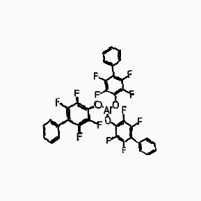 Fc1c(F)c(-c2ccccc2)c(F)c(F)c1[O][Al]([O]c1c(F)c(F)c(-c2ccccc2)c(F)c1F)[O]c1c(F)c(F)c(-c2ccccc2)c(F)c1F